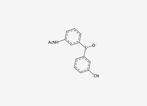 CC(=O)Nc1cccc([S+]([O-])c2cccc(C#N)c2)c1